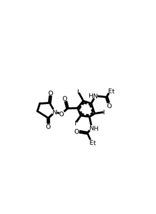 CCC(=O)Nc1c(I)c(NC(=O)CC)c(I)c(C(=O)ON2C(=O)CCC2=O)c1I